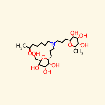 CC(=O)CCCCCN(CCC[C@@H]1O[C@@H](C)[C@@H](O)[C@H](O)[C@@H]1O)CCC[C@H]1O[C@H](CO)[C@@H](O)[C@H](O)[C@@H]1O